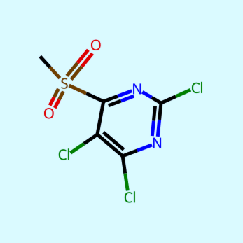 CS(=O)(=O)c1nc(Cl)nc(Cl)c1Cl